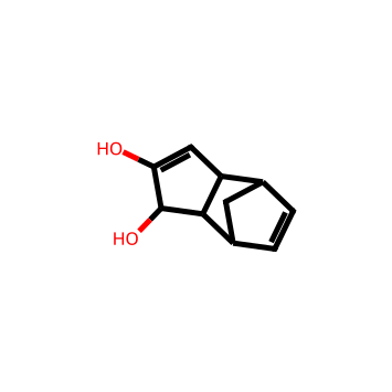 OC1=CC2C3C=CC(C3)C2C1O